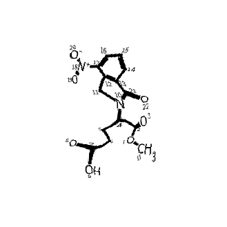 COC(=O)C(CCC(=O)O)N1Cc2c(cccc2[N+](=O)[O-])C1=O